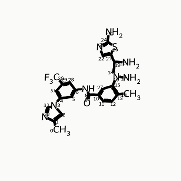 Cc1cn(-c2cc(NC(=O)c3ccc(C)c(N(N)CC(N)c4cnc(N)s4)c3)cc(C(F)(F)F)c2)cn1